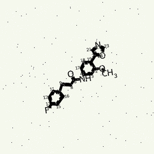 COc1cc(NC(=O)C=Cc2ccc(F)cc2)ccc1-c1cnco1